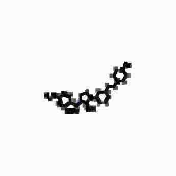 CN/C(=C1/CCN(c2cccc(CCN3CCN(C(C)=O)CC3)c2)C1=N)c1cnc(N)nc1